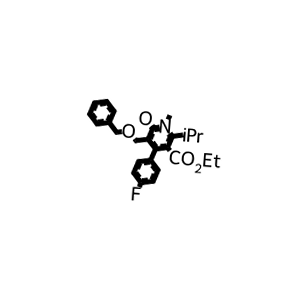 CCOC(=O)c1c(-c2ccc(F)cc2)c(COCc2ccccc2)c(=O)n(C)c1C(C)C